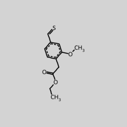 CCOC(=O)Cc1ccc(C=S)cc1OC